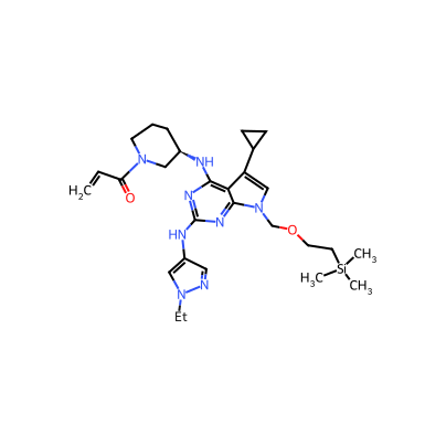 C=CC(=O)N1CCC[C@@H](Nc2nc(Nc3cnn(CC)c3)nc3c2c(C2CC2)cn3COCC[Si](C)(C)C)C1